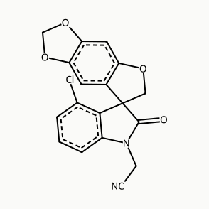 N#CCN1C(=O)C2(COc3cc4c(cc32)OCO4)c2c(Cl)cccc21